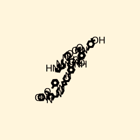 COc1cc(CN2CCN(C3CC4(CCN(c5ccc(C(=O)NS(=O)(=O)c6ccc(NCC7CCC(C)(O)CC7)c([N+](=O)[O-])c6)c(N6C[C@H]7COCCN7Cc7nc8[nH]ccc8cc76)c5)CC4)C3)[C@H](c3ccccc3C)C2)cnc1N1CCOCC1